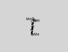 COCCOCCOCCOP(O)OC